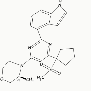 C[C@H]1COCCN1c1cc(C2(S(C)(=O)=O)CCCC2)nc(-c2cccc3[nH]ccc23)n1